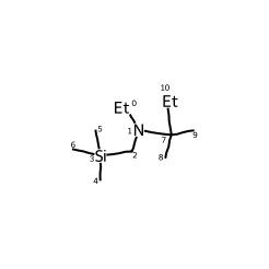 CCN(C[Si](C)(C)C)C(C)(C)CC